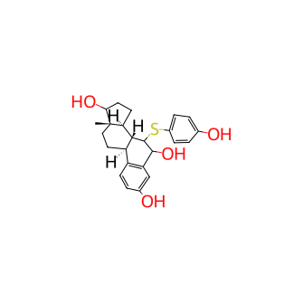 C[C@]12CC[C@@H]3c4ccc(O)cc4C(O)C(Sc4ccc(O)cc4)[C@H]3[C@@H]1CCC2O